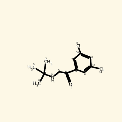 CC(C)(C)NCC(=O)c1cc(Cl)cc(Cl)c1